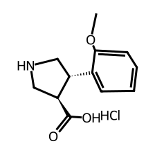 COc1ccccc1[C@H]1CNC[C@@H]1C(=O)O.Cl